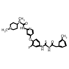 Cc1cccc(CC(=O)NC(=S)Nc2ccc(Oc3ccnc(NC(=O)N(C)C4CCN(C)CC4)c3)c(F)c2)c1